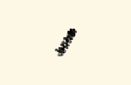 CC1OB(c2ccc(N3CCN(C(=O)OC(C)(C)C)CC3)cc2)OC1(C)C